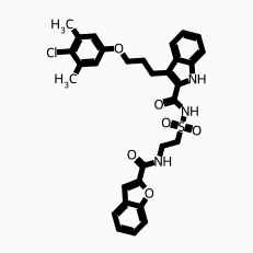 Cc1cc(OCCCc2c(C(=O)NS(=O)(=O)CCNC(=O)c3cc4ccccc4o3)[nH]c3ccccc23)cc(C)c1Cl